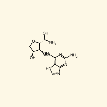 CSc1nc(N)nc2nc[nH]c12.NC(O)[C@H]1OC[C@H](O)[C@@H]1O